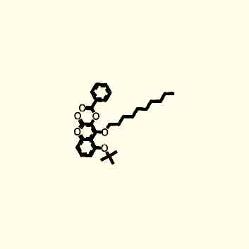 CCCCCCCCCCOc1c(OC(=O)c2ccccc2)c(=O)oc2cccc(OC(C)(C)C)c12